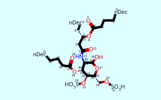 CCCCCCCCCCCCCC(=O)O[C@@H](CCCCCCCCCCC)CC(=O)N[C@H]1C(O)O[C@H](COS(=O)(=O)O)[C@@H](OS(=O)(=O)O)[C@@H]1OC(=O)CCCCCCCCCCCCC